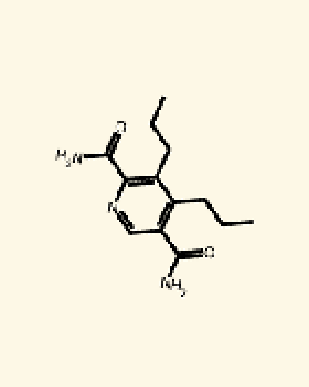 CCCc1c(C(N)=O)cnc(C(N)=O)c1CCC